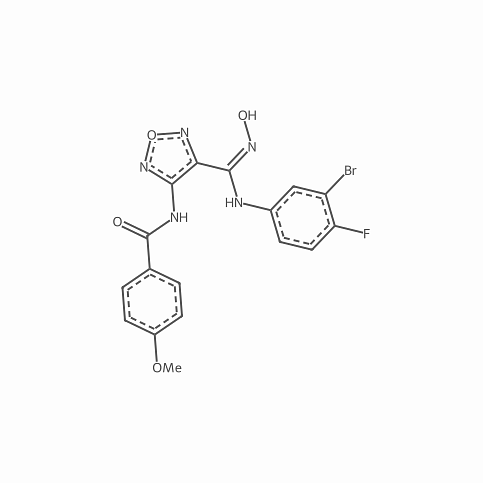 COc1ccc(C(=O)Nc2nonc2/C(=N\O)Nc2ccc(F)c(Br)c2)cc1